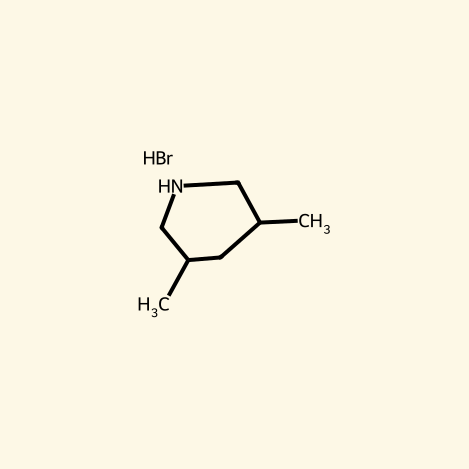 Br.CC1CNCC(C)C1